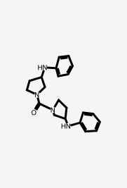 O=C(N1CCC(Nc2ccccc2)C1)N1CCC(Nc2ccccc2)C1